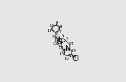 O=C1C2CN(Cc3ccccc3)CC1C1=CC=C(Cl)CN1C2